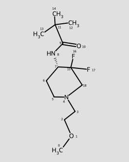 COCCN1CC[C@H](NC(=O)C(C)(C)C)C(F)(F)C1